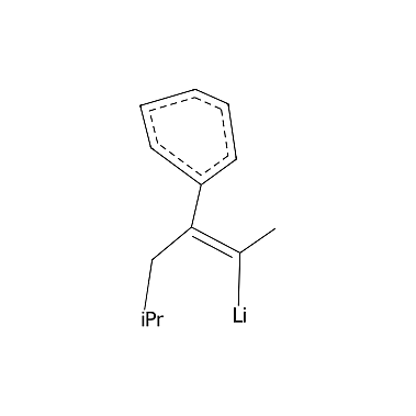 [Li][C](C)=C(CC(C)C)c1ccccc1